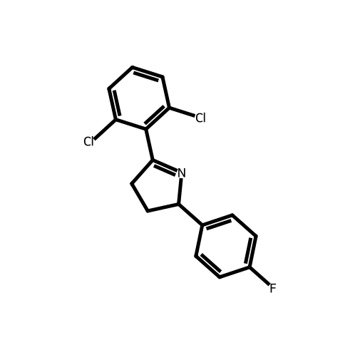 Fc1ccc(C2CCC(c3c(Cl)cccc3Cl)=N2)cc1